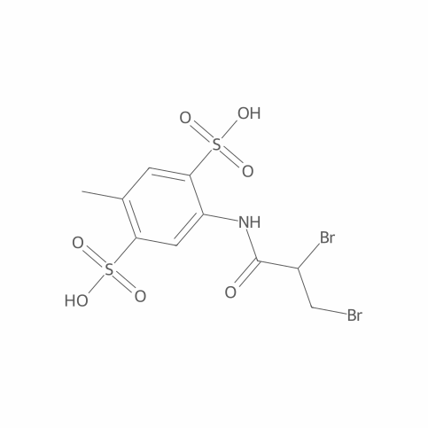 Cc1cc(S(=O)(=O)O)c(NC(=O)C(Br)CBr)cc1S(=O)(=O)O